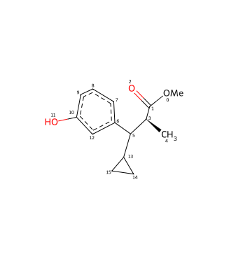 COC(=O)[C@@H](C)C(c1cccc(O)c1)C1CC1